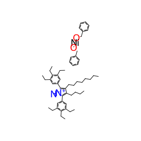 CCCCCCCCC1=C(c2cc(CC)c(CC)c(CC)c2)[N+](=[N-])C(c2cc(CC)c(CC)c(CC)c2)=C1CCCC.c1ccc(C[O][Ni][O]Cc2ccccc2)cc1